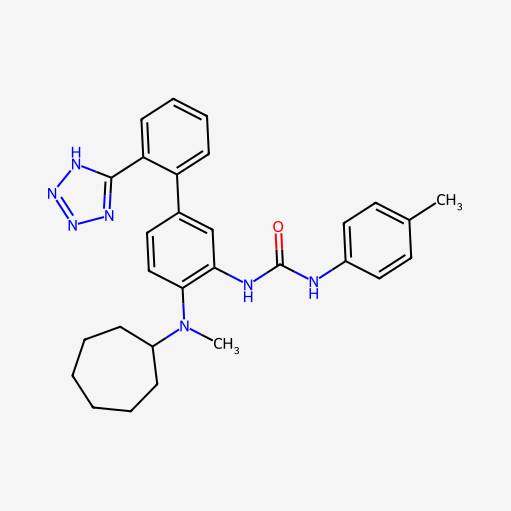 Cc1ccc(NC(=O)Nc2cc(-c3ccccc3-c3nnn[nH]3)ccc2N(C)C2CCCCCC2)cc1